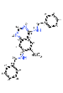 O=[N+]([O-])c1cc2c(NCc3ccccc3)ncnc2cc1NCc1ccccc1